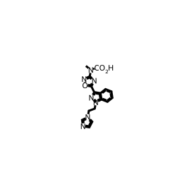 CN(C(=O)O)c1noc(-c2nn(CCn3ccnc3)c3ccccc23)n1